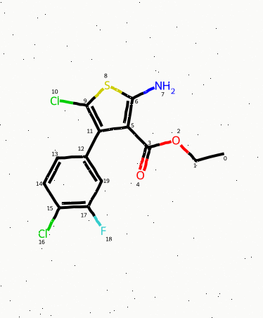 CCOC(=O)c1c(N)sc(Cl)c1-c1ccc(Cl)c(F)c1